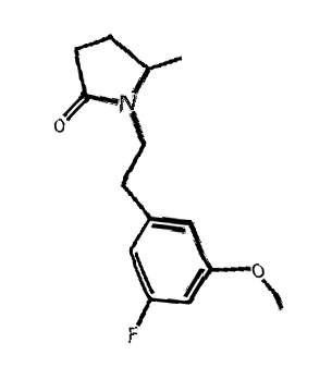 COc1cc(F)cc(CCN2C(=O)CCC2C)c1